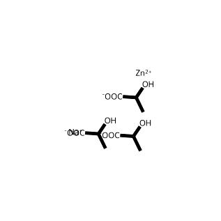 CC(O)C(=O)[O-].CC(O)C(=O)[O-].CC(O)C(=O)[O-].[Na+].[Zn+2]